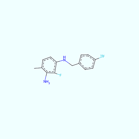 Cc1ccc(NCc2ccc([18F])cc2)c(F)c1N